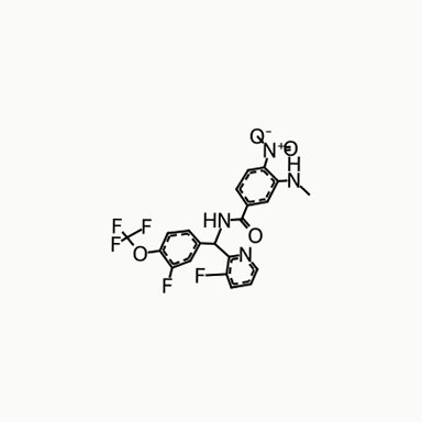 CNc1cc(C(=O)NC(c2ccc(OC(F)(F)F)c(F)c2)c2ncccc2F)ccc1[N+](=O)[O-]